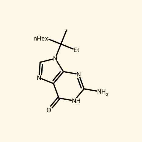 CCCCCCC(C)(CC)n1cnc2c(=O)[nH]c(N)nc21